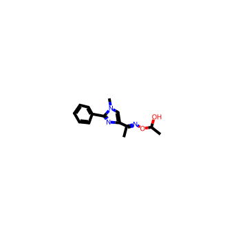 CC(=NOC(C)O)c1cn(C)c(-c2ccccc2)n1